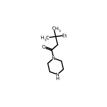 CCC(C)(C)CC(=O)N1CCNCC1